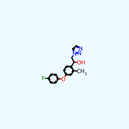 Cc1cc(Oc2ccc(F)cc2)ccc1C(O)Cn1ccnn1